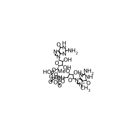 COC1C(COP(=O)(O)OP(=O)(O)OP(=O)(O)OC[C@H]2O[C@@H](n3cnc4c(=O)[nH]c(N)nc43)C(O)C2O)OC([N+]2=C=[N+](C)c3c2nc(N)[nH]c3=O)C1O